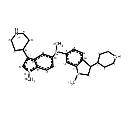 CN1CC(C2CCNCC2)c2ccc(N(C)c3ccc4c(c3)c(C3CCNCC3)cn4C)cc21